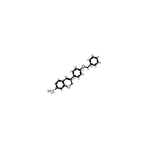 Cc1ccc2c(c1)OCC(c1ccc(OCc3ccccc3)cc1)=C2